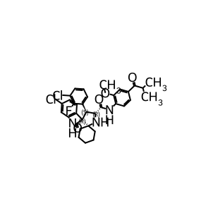 COc1cc(C(=O)C(C)C)ccc1NC(=O)[C@@H]1NC2(CCCCC2)[C@@]2(C(=O)Nc3cc(Cl)ccc32)[C@H]1c1cccc(Cl)c1F